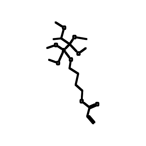 C=CC(=O)OCCCCO[Si](OC)(OC)C(OC)(OC)C(C)OC